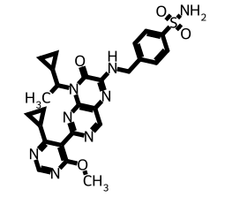 COc1ncnc(C2CC2)c1-c1ncc2nc(NCc3ccc(S(N)(=O)=O)cc3)c(=O)n(C(C)C3CC3)c2n1